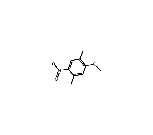 COc1cc(C)c([N+](=O)[O-])cc1C